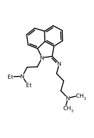 CCN(CC)CCN1C(=NCCCN(C)C)c2cccc3cccc1c23